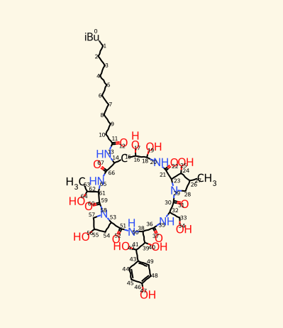 CCC(C)CCCCCCCCCCC(=O)NC1CC(O)C(O)NC(=O)C2C(O)C(C)CN2C(=O)C(CO)NC(=O)C(C(O)C(O)c2ccc(O)cc2)NC(=O)C2CC(O)CN2C(=O)C(C(C)O)NC1=O